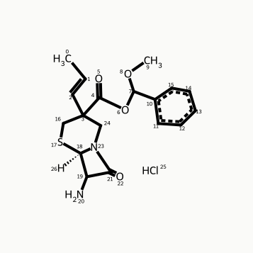 CC=CC1(C(=O)OC(OC)c2ccccc2)CS[C@@H]2C(N)C(=O)N2C1.Cl